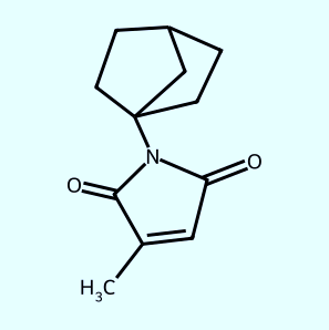 CC1=CC(=O)N(C23CCC(CC2)C3)C1=O